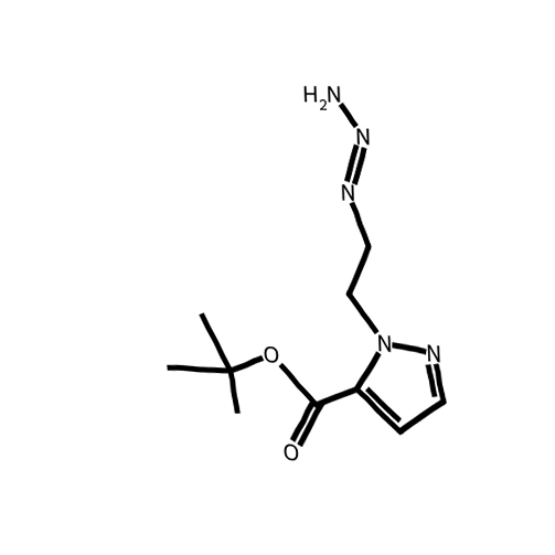 CC(C)(C)OC(=O)c1ccnn1CCN=NN